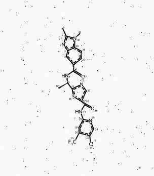 Cc1nc2cc(C(=O)N[C@H](C)c3ncc(C(=O)Nc4cc(C(F)(F)F)c(Cl)cn4)s3)ccc2n1C